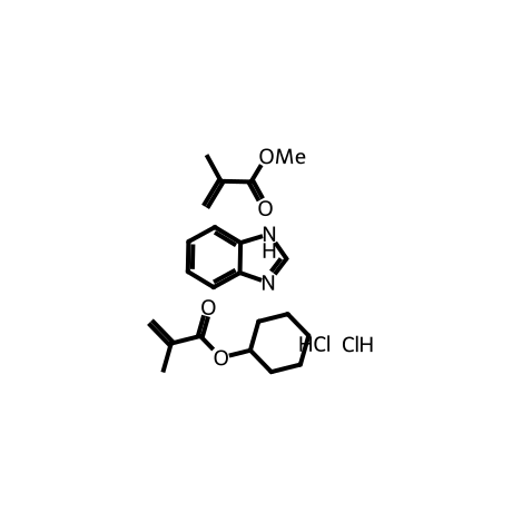 C=C(C)C(=O)OC.C=C(C)C(=O)OC1CCCCC1.Cl.Cl.c1ccc2[nH]cnc2c1